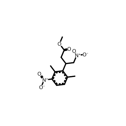 COC(=O)CC(C[N+](=O)[O-])c1c(C)ccc([N+](=O)[O-])c1C